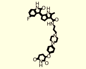 Cc1[nH]c2c(c1C(=O)NCCCN1CCN(c3ccc(OC4CCC(=O)NC4=O)cc3)CC1)CC/C2=C1/C(=O)Nc2ccc(F)cc21